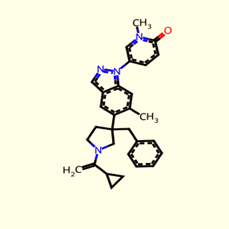 C=C(C1CC1)N1CCC(Cc2ccccc2)(c2cc3cnn(-c4ccc(=O)n(C)c4)c3cc2C)C1